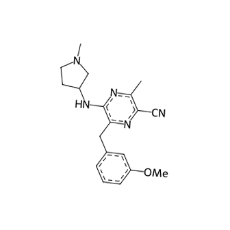 COc1cccc(Cc2nc(C#N)c(C)nc2NC2CCN(C)C2)c1